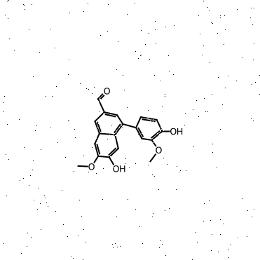 COc1cc(-c2cc(C=O)cc3cc(OC)c(O)cc23)ccc1O